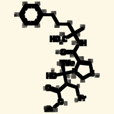 CN[C@](O)(C(CC(C)C)C(=O)OC(C)(C)C)N1CSC=C1C(=O)NC(C)(CCCc1ccccc1)C(=O)O